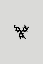 CCc1ccc(N(c2ccc(C)c(C)c2)c2ccc(C)c(C)c2)cc1